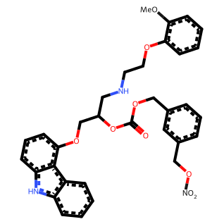 COc1ccccc1OCCNCC(COc1cccc2[nH]c3ccccc3c12)OC(=O)OCc1cccc(CO[N+](=O)[O-])c1